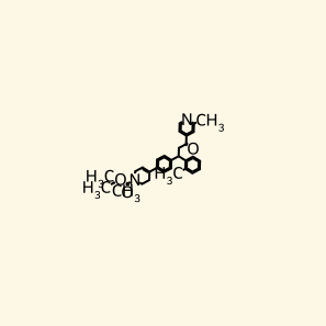 Cc1cc(C(=O)CC(c2ccc(C3=CCN(C(=O)OC(C)(C)C)CC3)cc2)c2ccccc2C)ccn1